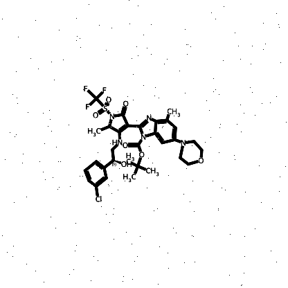 Cc1cc(N2CCOCC2)cc2c1nc(C1=C(NC[C@@H](O)c3cccc(Cl)c3)C(C)N(S(=O)(=O)C(F)(F)F)C1=O)n2C(=O)OC(C)(C)C